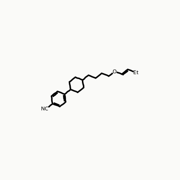 CC/C=C/OCCCCC1CCC(c2ccc(C#N)cc2)CC1